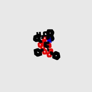 Cc1cccc2ccn([C@@H]3O[C@H](COC(=O)c4ccccc4)[C@H](OC(=O)c4ccccc4)[C@H]3OC(=O)c3ccccc3)c(=O)c12